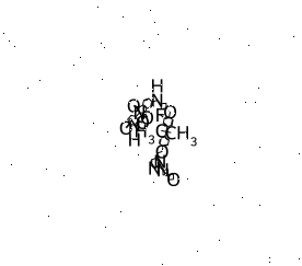 CC(C)(c1ccc(OCc2ccnc(N3CC4(COC4)C3)n2)cc1)c1ccc(O[C@H]2C[C@H](Nc3ccc4c(c3)C(=O)N(C3CCC(=O)NC3=O)C4=O)C2)c(F)c1